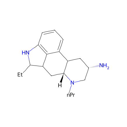 CCCN1C[C@@H](N)CC2c3cccc4c3C(C[C@H]21)C(CC)N4